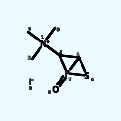 C[N+](C)(C)C1C2SP21=O.[I-]